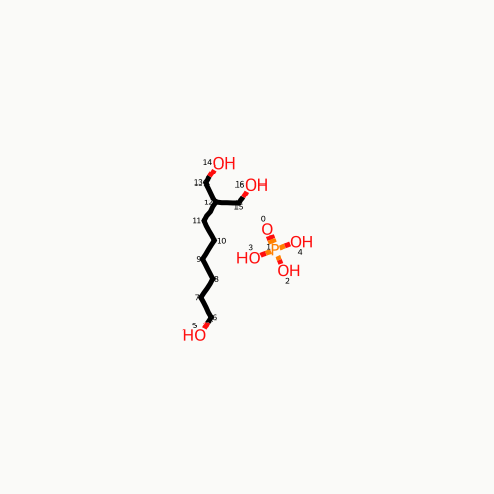 O=P(O)(O)O.OCCCCCCC(CO)CO